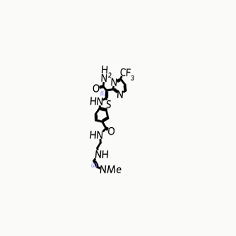 CN/C=C\NCCNC(=O)c1ccc2c(c1)S/C(=C(/C(N)=O)c1nccc(C(F)(F)F)n1)N2